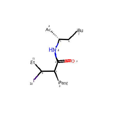 CCCC(C)C(C(=O)N[C@@H](CC(C)CC)C(C)=O)C(I)CC